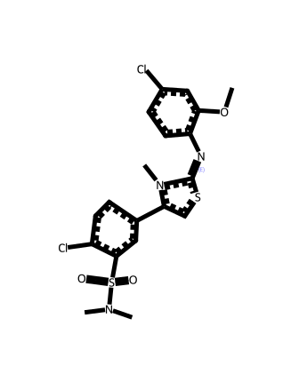 COc1cc(Cl)ccc1/N=c1/scc(-c2ccc(Cl)c(S(=O)(=O)N(C)C)c2)n1C